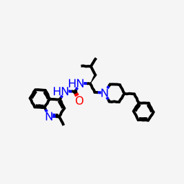 Cc1cc(NC(=O)N[C@@H](CC(C)C)CN2CCC(Cc3ccccc3)CC2)c2ccccc2n1